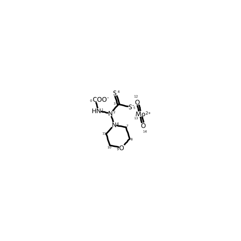 O=C([O-])NN(C(=S)[S-])N1CCOCC1.[O]=[Mo+2]=[O]